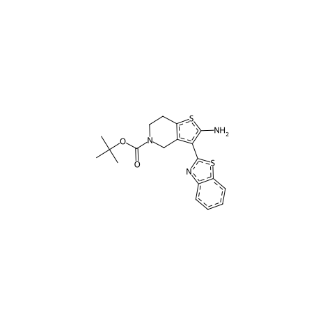 CC(C)(C)OC(=O)N1CCc2sc(N)c(-c3nc4ccccc4s3)c2C1